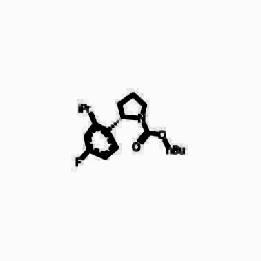 CCCCOC(=O)N1CCC[C@H]1c1ccc(F)cc1C(C)C